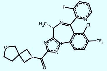 C[C@@H]1N=C(c2ncccc2F)c2c(ccc(C(F)(F)F)c2Cl)-n2nc(C(=O)N3CC4(CCOC4)C3)nc21